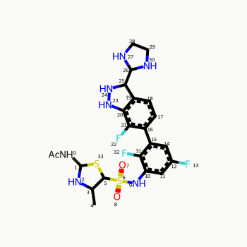 CC(=O)NC1NC(C)C(S(=O)(=O)Nc2cc(F)cc(-c3ccc4c(c3F)NNC4C3NCCN3)c2F)S1